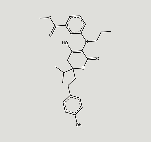 CCCN(C1=C(O)CC(CCc2ccc(O)cc2)(C(C)C)OC1=O)c1cccc(C(=O)OC)c1